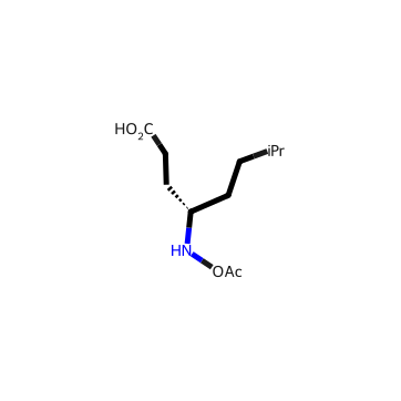 CC(=O)ON[C@H](CCC(=O)O)CCC(C)C